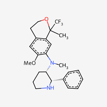 COc1cc2c(cc1N(C)[C@H]1CCCN[C@H]1c1ccccc1)C(C)(C(F)(F)F)OCC2